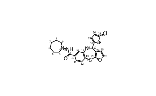 O=C(NN1CCCCCC1)c1ccc2c(c1)N=C(c1ccc(Cl)s1)c1ccoc1S2